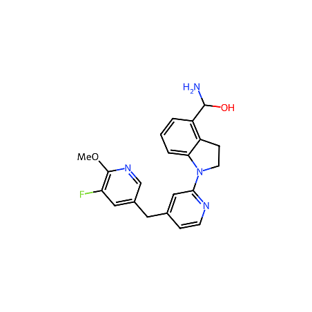 COc1ncc(Cc2ccnc(N3CCc4c(C(N)O)cccc43)c2)cc1F